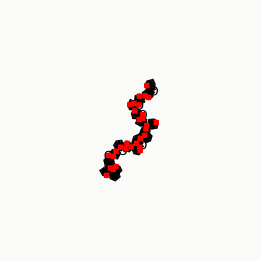 C1=CCC(N(c2ccc3c(-c4cccc5c4oc4cccc(-c6ccc7c(c6)oc6c(-c8ccc9c(c8)oc8ccc(N(c%10ccccc%10)c%10cccc%11ccccc%10%11)cc89)cccc67)c45)cccc3c2)c2ccc3c(c2)oc2cc(-c4cccc5c4oc4cc(-c6ccc7oc8ccccc8c7c6)ccc45)ccc23)C=C1